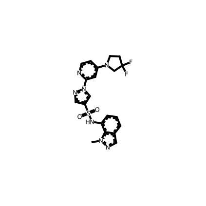 Cn1ncc2cccc(NS(=O)(=O)c3cnn(-c4cc(N5CCC(F)(F)C5)ccn4)c3)c21